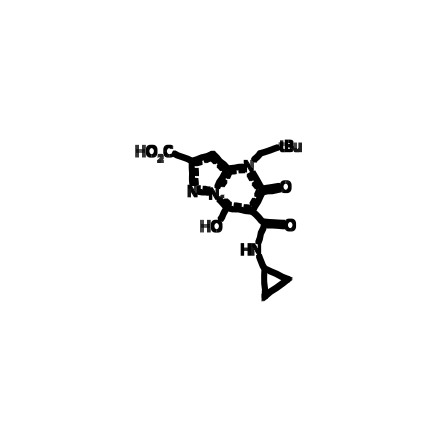 CC(C)(C)Cn1c(=O)c(C(=O)NC2CC2)c(O)n2nc(C(=O)O)cc12